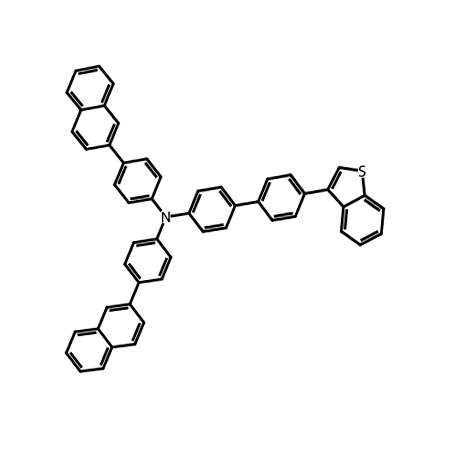 c1ccc2cc(-c3ccc(N(c4ccc(-c5ccc(-c6csc7ccccc67)cc5)cc4)c4ccc(-c5ccc6ccccc6c5)cc4)cc3)ccc2c1